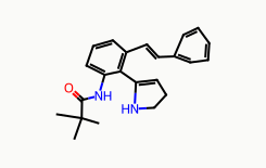 CC(C)(C)C(=O)Nc1cccc(/C=C/c2ccccc2)c1C1=CCCN1